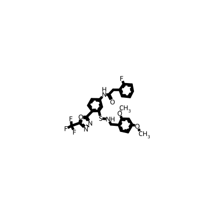 COc1ccc(CNSc2cc(NC(=O)Cc3ccccc3F)ccc2-c2nnc(C(F)(F)F)o2)c(OC)c1